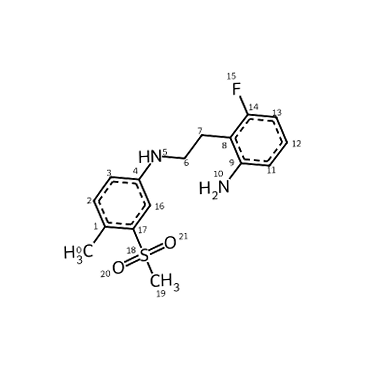 Cc1ccc(NCCc2c(N)cccc2F)cc1S(C)(=O)=O